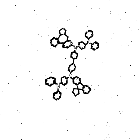 c1ccc(N(c2ccccc2)c2ccc(N(c3ccc(-c4ccc(N(c5ccc(N(c6ccccc6)c6ccccc6)cc5)c5ccc6c(c5)C5(CCCC5)c5ccccc5-6)cc4)cc3)c3ccc4c(c3)CC3CCCC3c3ccccc3-4)cc2)cc1